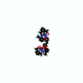 CC(C)c1cccc(C(C)C)c1/N=C1/N(c2c(C(C)C)cccc2C(C)C)C(=O)N1C1CCC(CC2CCC(N3C(=O)N(c4c(C(C)C)cccc4C(C)C)/C3=N/c3c(C(C)C)cccc3C(C)C)CC2)CC1